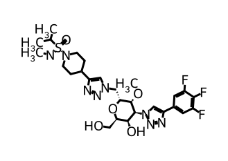 CN=S(=O)(C(C)C)N1CCC(c2cn(C[C@H]3O[C@H](CO)[C@H](O)[C@H](n4cc(-c5cc(F)c(F)c(F)c5)nn4)[C@H]3OC)nn2)CC1